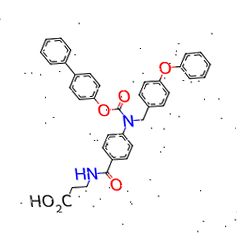 O=C(O)CCNC(=O)c1ccc(N(Cc2ccc(Oc3ccccc3)cc2)C(=O)Oc2ccc(-c3ccccc3)cc2)cc1